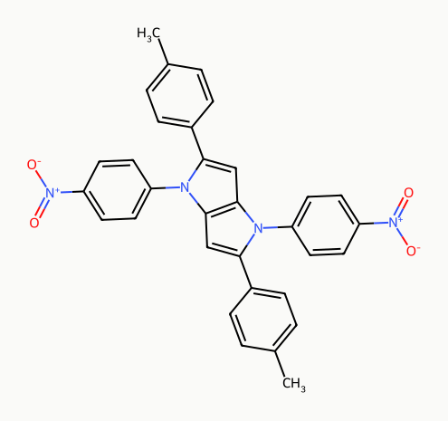 Cc1ccc(-c2cc3c(cc(-c4ccc(C)cc4)n3-c3ccc([N+](=O)[O-])cc3)n2-c2ccc([N+](=O)[O-])cc2)cc1